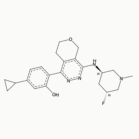 CN1C[C@H](F)C[C@@H](Nc2nnc(-c3ccc(C4CC4)cc3O)c3c2COCC3)C1